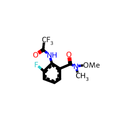 CON(C)C(=O)c1cccc(F)c1NC(=O)C(F)(F)F